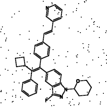 Fc1nn(C2CCCCO2)c2ccc(C(=C(c3ccccc3)C3CCC3)c3ccc(C=Cc4cccnc4)cc3)cc12